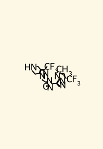 Cc1cc(C(F)(F)F)n2ncc(-c3noc(Cn4nc(C(F)(F)F)c5c4CCNC5)n3)c2n1